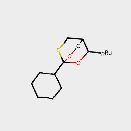 CCCCC1OC2(C3CCCCC3)OCC1CS2